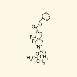 CC(C)(C)OC(=O)N1CCC2(CCN(C(=O)OCc3ccccc3)CC2(F)F)CC1